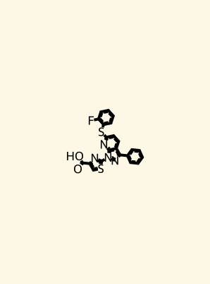 O=C(O)c1csc(-n2nc(-c3ccccc3)c3ccc(Sc4ccccc4F)nc32)n1